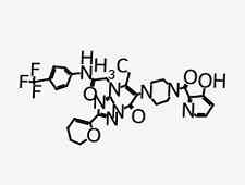 CCc1c(N2CCN(C(=O)c3ncccc3O)CC2)c(=O)n2nc(C3=CCCCO3)nc2n1CC(=O)Nc1ccc(C(F)(F)F)cc1